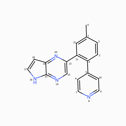 Cc1ccc(-c2ccncc2)c(-c2cnc3[nH]ccc3n2)c1